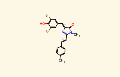 Cc1ccc(/C=C/C2=NC(=C\c3cc(Br)c(O)c(Br)c3)/C(=O)N2C)cc1